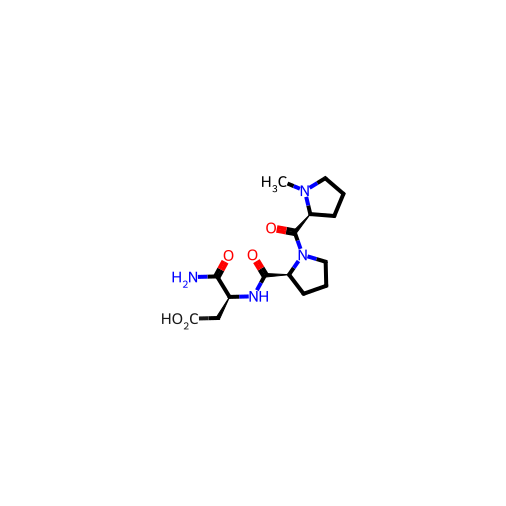 CN1CCC[C@H]1C(=O)N1CCC[C@H]1C(=O)N[C@@H](CC(=O)O)C(N)=O